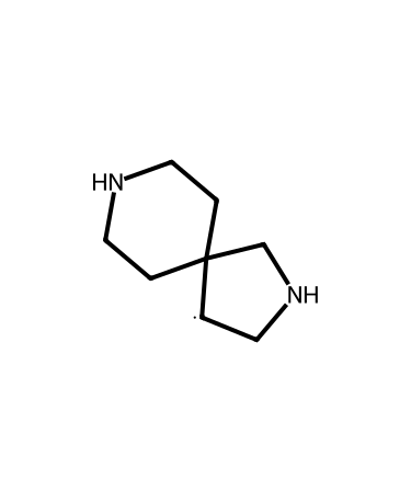 [CH]1CNCC12CCNCC2